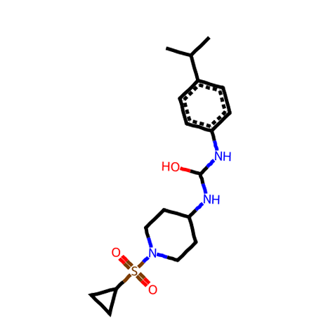 CC(C)c1ccc(NC(O)NC2CCN(S(=O)(=O)C3CC3)CC2)cc1